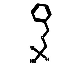 [2H]C([2H])(O)COCc1ccccc1